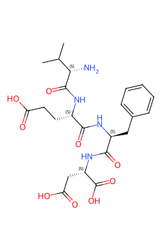 CC(C)[C@H](N)C(=O)N[C@@H](CCC(=O)O)C(=O)N[C@@H](Cc1ccccc1)C(=O)N[C@@H](CC(=O)O)C(=O)O